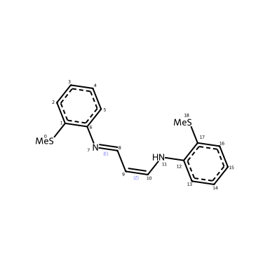 CSc1ccccc1/N=C/C=C\Nc1ccccc1SC